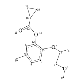 COCC(C)Oc1ccc(C)cc1OC(=O)C1CC1